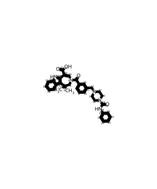 CC1(C)CN(C(=O)c2cccc(CN3CCN(C(=O)Nc4ccccc4)CC3)c2)C=C(C(=O)O)c2[nH]c3ccccc3c21